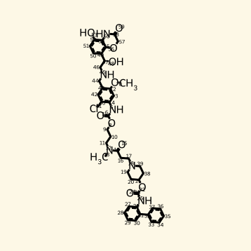 COc1cc(NC(=O)OCCCN(C)C(=O)CCN2CCC(OC(=O)Nc3ccccc3-c3ccccc3)CC2)c(Cl)cc1CNC[C@H](O)c1ccc(O)c2c1OCC(=O)N2